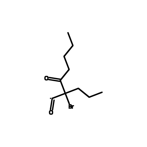 CCCCC(=O)C(Br)([C]=O)CCC